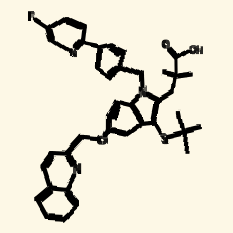 CC(C)(C)Sc1c(CC(C)(C)C(=O)O)n(Cc2ccc(-c3ccc(F)cn3)cc2)c2ccc(OCc3ccc4ccccc4n3)cc12